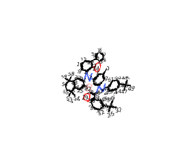 Cc1cc2c3c(c1)N(c1cccc4c1oc1ccccc14)c1cc4c(cc1B3c1oc3ccc(C(C)(C)C)cc3c1N2c1ccc(C(C)(C)C)cc1)C(C)(C)CCC4(C)C